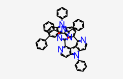 c1ccc(-c2ccc3c(c2)c2cc(-c4nccc5c4c4c(-c6nc(-c7ccccc7)nc(-c7ccccc7)n6)nccc4n5-c4ccccc4)ccc2n3-c2ccccc2)cc1